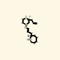 C=CC[C@@]1(C)CN(O/C=C/C[C@]2(C)CCCCCN2)CCO1